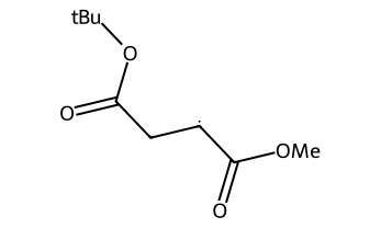 COC(=O)[CH]CC(=O)OC(C)(C)C